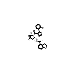 O=C(NC[C@@H]1C[C@@H]2C[C@@H]2N1C(=O)c1ncsc1-c1ccccc1F)c1cccc2c1CCO2